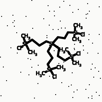 C[Si](C)(Cl)CCC[Si](CCC[Si](C)(C)Cl)(CCC[Si](C)(C)Cl)CCC[Si](C)(C)Cl